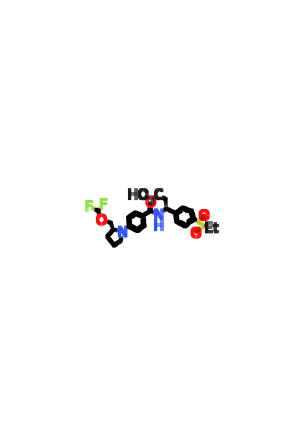 CCS(=O)(=O)c1ccc([C@H](CC(=O)O)NC(=O)c2ccc(N3CCC[C@H]3COC(F)F)cc2)cc1